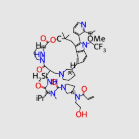 C=CC(=O)N(CCO)[C@H]1CCN(C(=O)N(C)[C@H](C(=O)N[SiH2]C2CN3CCC[C@@H](C3)c3ccc4c(c3)c(c(-c3cccnc3[C@H](C)OC)n4CC(F)(F)F)CC(C)(C)COC(=O)[C@@H]3CCCN(N3)C2=O)C(C)C)C1